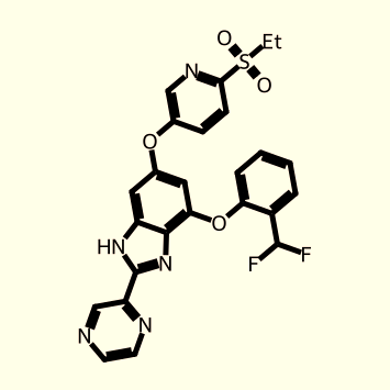 CCS(=O)(=O)c1ccc(Oc2cc(Oc3ccccc3C(F)F)c3nc(-c4cnccn4)[nH]c3c2)cn1